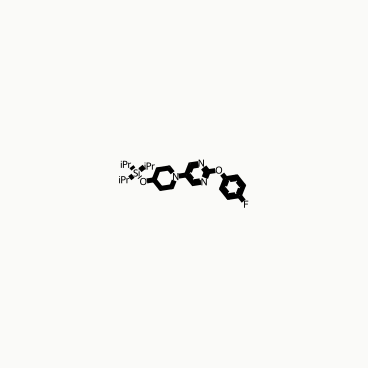 CC(C)[Si](OC1CCN(c2cnc(Oc3ccc(F)cc3)nc2)CC1)(C(C)C)C(C)C